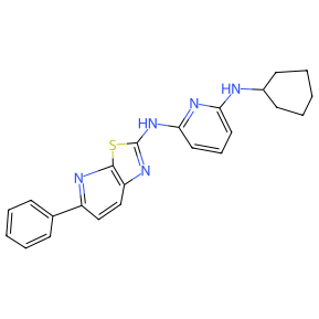 c1ccc(-c2ccc3nc(Nc4cccc(NC5CCCCC5)n4)sc3n2)cc1